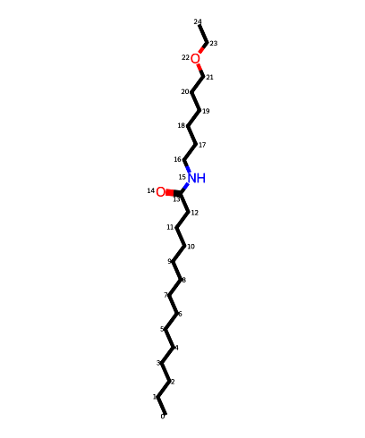 CCCCCCCCCCCCCC(=O)NCCCCCCOCC